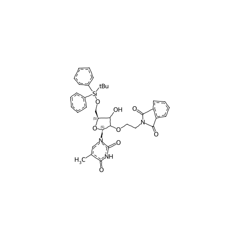 Cc1cn([C@H]2O[C@@H](CO[Si](c3ccccc3)(c3ccccc3)C(C)(C)C)C(O)C2OCCN2C(=O)c3ccccc3C2=O)c(=O)[nH]c1=O